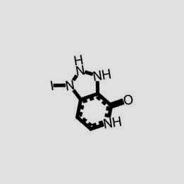 O=c1[nH]ccc2c1NNN2I